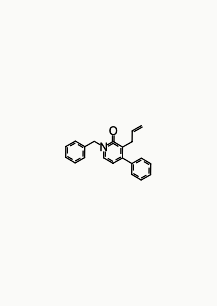 C=CCc1c(-c2ccccc2)ccn(Cc2ccccc2)c1=O